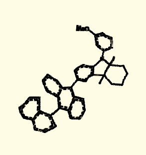 COc1cccc(N2c3ccc(-c4c5ccccc5c(-c5cccc6ccccc56)c5ccccc45)cc3C3(C)CCCCC23C)c1